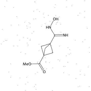 COC(=O)C12CC(C(=N)NO)(C1)C2